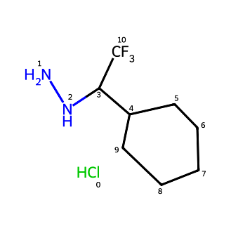 Cl.NNC(C1CCCCC1)C(F)(F)F